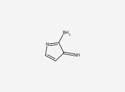 BC1=NC=CC1=N